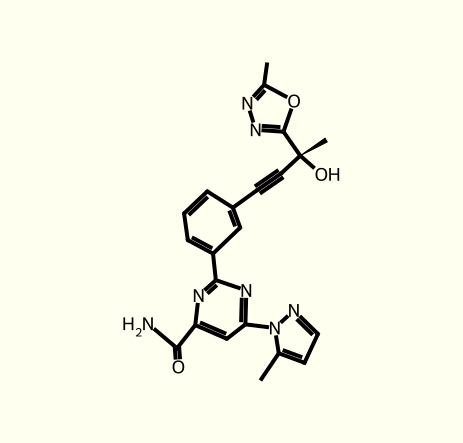 Cc1nnc([C@](C)(O)C#Cc2cccc(-c3nc(C(N)=O)cc(-n4nccc4C)n3)c2)o1